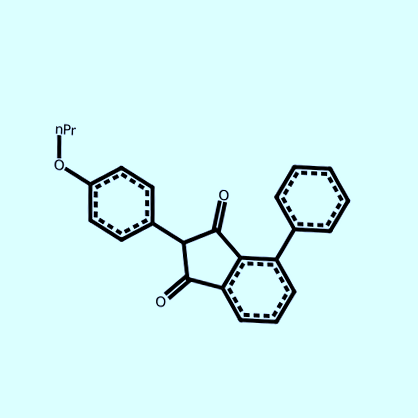 CCCOc1ccc(C2C(=O)c3cccc(-c4ccccc4)c3C2=O)cc1